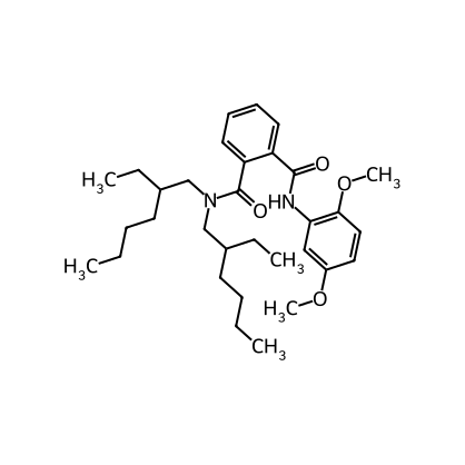 CCCCC(CC)CN(CC(CC)CCCC)C(=O)c1ccccc1C(=O)Nc1cc(OC)ccc1OC